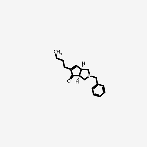 CCCCC1=C[C@H]2CN(Cc3ccccc3)C[C@H]2C1=O